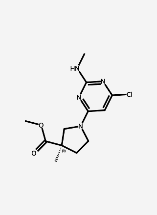 CNc1nc(Cl)cc(N2CC[C@@](C)(C(=O)OC)C2)n1